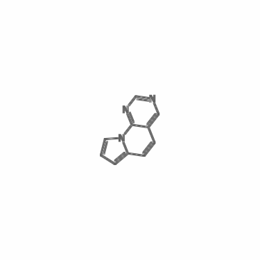 c1cc2ccc3cncnc3n2c1